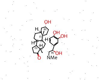 CNC[C@H](O)c1ccc(O)c(O)c1.C[C@]12CC[C@@H](O)C[C@@H]1CC[C@@H]1[C@@H]2CC[C@]2(C)C(=O)CC[C@@H]12